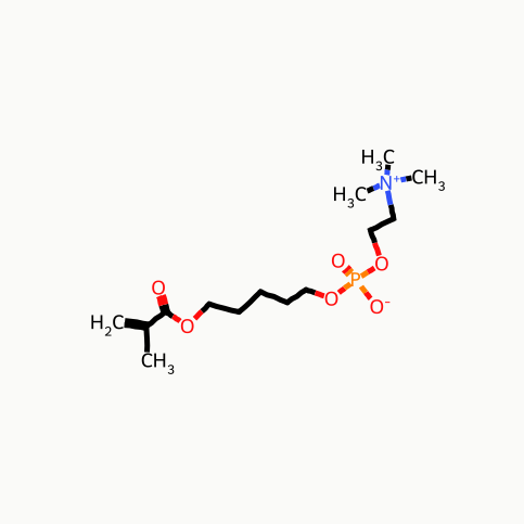 C=C(C)C(=O)OCCCCCOP(=O)([O-])OCC[N+](C)(C)C